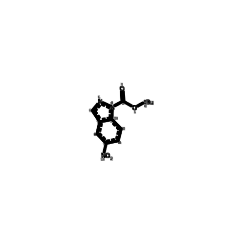 CC(C)(C)OC(=O)n1ncc2cc([N+](=O)[O-])ccc21